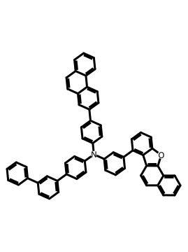 c1ccc(-c2cccc(-c3ccc(N(c4ccc(-c5ccc6c(ccc7ccccc76)c5)cc4)c4cccc(-c5cccc6oc7c8ccccc8ccc7c56)c4)cc3)c2)cc1